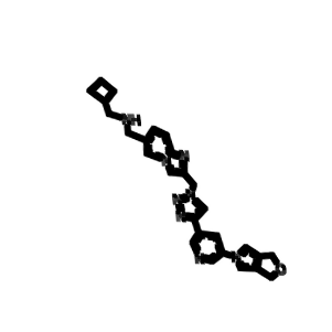 c1cc2nc(Cn3cc(-c4cncc(-n5cc6c(c5)COC6)c4)nn3)cn2cc1CNCC1CCC1